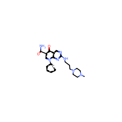 CN1CCN(CCCNc2ncc3c(=O)c(C(N)=O)cn(-c4ccccc4)c3n2)CC1